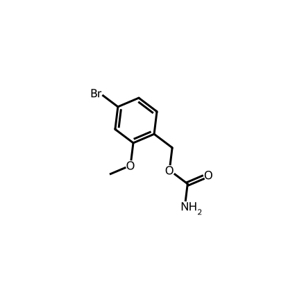 COc1cc(Br)ccc1COC(N)=O